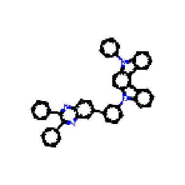 c1ccc(-c2nc3ccc(-c4cccc(-n5c6ccccc6c6c7c8ccccc8n(-c8ccccc8)c7ccc65)c4)cc3nc2-c2ccccc2)cc1